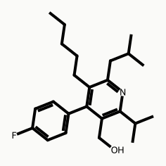 CCCCCc1c(CC(C)C)nc(C(C)C)c(CO)c1-c1ccc(F)cc1